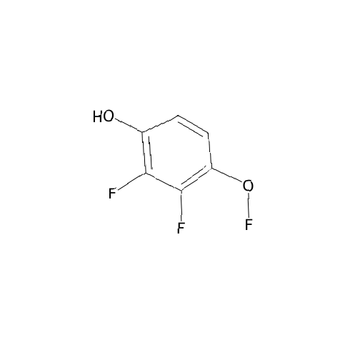 Oc1ccc(OF)c(F)c1F